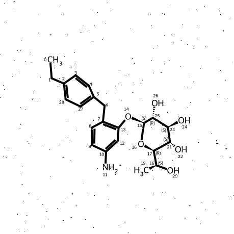 CCc1ccc(Cc2ccc(N)cc2O[C@@H]2O[C@H]([C@H](C)O)[C@@H](O)[C@H](O)[C@H]2O)cc1